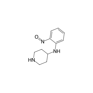 O=Nc1ccccc1NC1CCNCC1